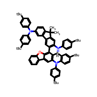 CC(C)(C)c1ccc(Nc2cc3c(cc2-c2c4c(cc5c2oc2ccccc25)N(c2ccc(C(C)(C)C)cc2)c2ccc(C(C)(C)C)cc2B4)-c2cc(N(c4ccc(C(C)(C)C)cc4)c4ccc(C(C)(C)C)cc4)ccc2C3(C)C)cc1